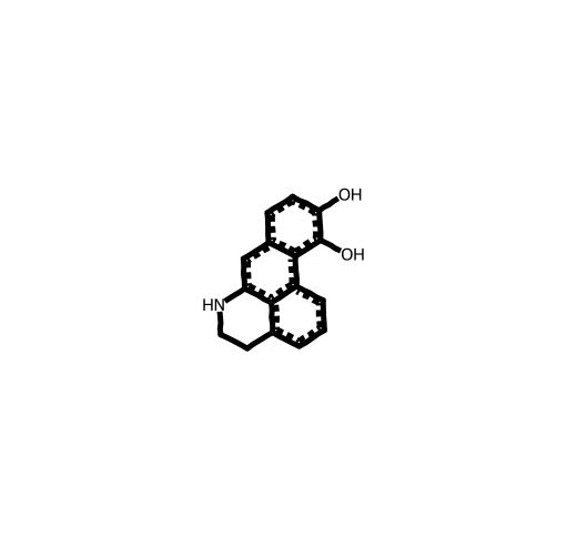 Oc1ccc2cc3c4c(cccc4c2c1O)CCN3